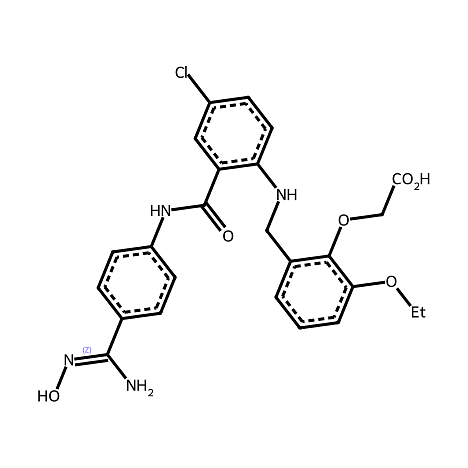 CCOc1cccc(CNc2ccc(Cl)cc2C(=O)Nc2ccc(/C(N)=N/O)cc2)c1OCC(=O)O